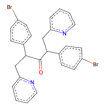 O=C(C(Cc1ccccn1)c1ccc(Br)cc1)C(Cc1ccccn1)c1ccc(Br)cc1